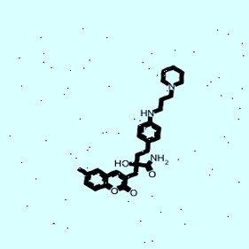 Cc1ccc2oc(=O)c(CC(O)(CCc3ccc(NCCCN4CCCCC4)cc3)C(N)=O)cc2c1